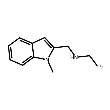 CC(C)CNCc1cc2c[c]ccc2n1C